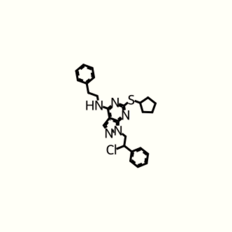 ClC(Cn1ncc2c(NCCc3ccccc3)nc(SC3CCCC3)nc21)c1ccccc1